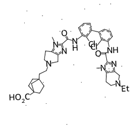 CCN1CCc2c(nc(C(=O)Nc3cccc(-c4cccc(NC(=O)c5nc6c(n5C)CCN(CCC57CCC(C(=O)O)(CC5)C7)C6)c4Cl)c3Cl)n2C)C1